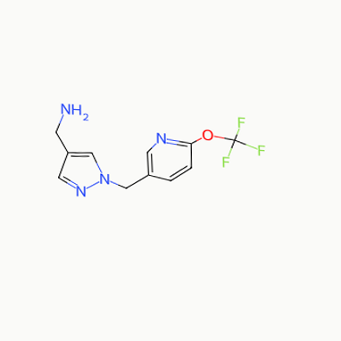 NCc1cnn(Cc2ccc(OC(F)(F)F)nc2)c1